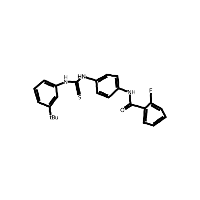 CC(C)(C)c1cccc(NC(=S)Nc2ccc(NC(=O)c3ccccc3F)cc2)c1